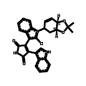 CC1(C)O[C@H]2C=CC(n3c(Cl)c(C4=C(c5c[nH]c6ccccc56)C(=O)NC4=O)c4ccccc43)C[C@H]2O1